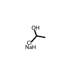 CC(O)Cl.[NaH]